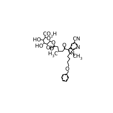 C[C@H](CC(=O)OC1OC(C(=O)O)C(O)C(O)C1O)CC(=O)c1c(CCCCOCc2ccccc2)n(C)c2ncc(C#N)cc12